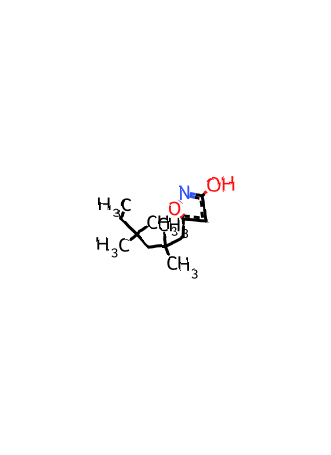 CCC(C)(C)CC(C)(C)Cc1cc(O)no1